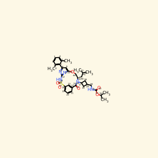 Cc1cccc(C)c1-c1cc2nc(n1)NS(=O)(=O)c1cccc(c1)C(=O)N(C1CC(CNC(=O)OC(C)C)C1)[C@H](CC(C)C)CO2